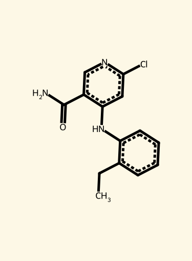 CCc1ccccc1Nc1cc(Cl)ncc1C(N)=O